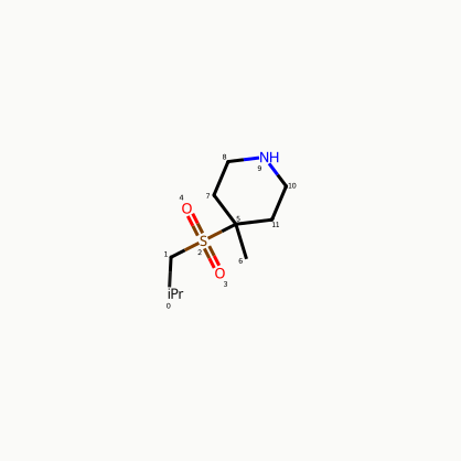 CC(C)CS(=O)(=O)C1(C)CCNCC1